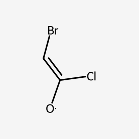 [O]/C(Cl)=C/Br